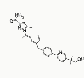 C=C/C(=C\C=C(/C)n1nc(C(N)=O)cc1C)Cc1ccc(-c2ccc(C(C)(C)CO)cn2)cc1